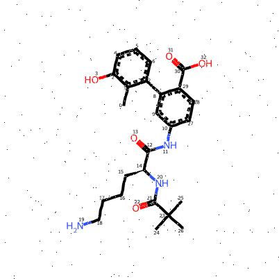 Cc1c(O)cccc1-c1cc(NC(=O)[C@H](CCCCN)NC(=O)C(C)(C)C)ccc1C(=O)O